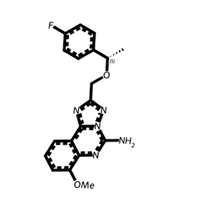 COc1cccc2c1nc(N)n1nc(CO[C@@H](C)c3ccc(F)cc3)nc21